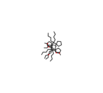 CCCCC(CCCC)(CCCC)[C]1([Cr]([C]2(C(CCCC)(CCCC)CCCC)CCCC2)[C]2(C(CCCC)(CCCC)CCCC)CCCC2)CCCC1